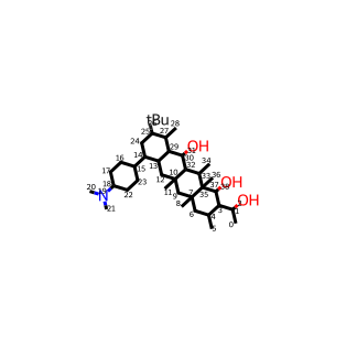 CC(O)C1C(C)CC2(C)CC3(C)CC4C(C5CCC(N(C)C)CC5)CC(C(C)(C)C)C(C)C4C(O)C3C(C)C2(C)C1O